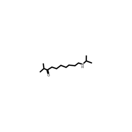 CC(C)NCCCCCCCC(=O)C(C)C